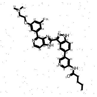 CCCCC(=O)Nc1cncc(-c2ccc3[nH]nc(-c4nc5c(-c6cc(F)cc(OCCN(C)C)c6)nccc5[nH]4)c3c2)c1